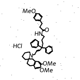 COc1ccc(CCC(=O)NCCCC(C=CCN2CCCCC23CCc2cc(OC)c(OC)cc2C3)(c2ccccc2)c2ccccc2)cc1.Cl